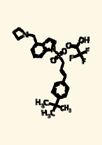 CC(C)(C)c1ccc(C=CCS(=O)(=O)n2ccc3c(CN4CCC4)cccc32)cc1.O=C(O)C(F)(F)F